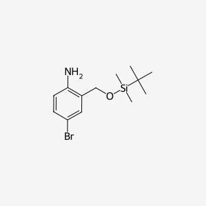 CC(C)(C)[Si](C)(C)OCc1cc(Br)ccc1N